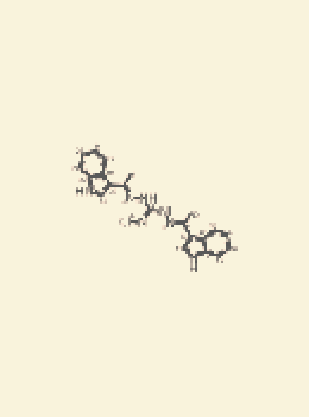 C/C(=N\NC(=NCl)N/N=C(\C)c1c[nH]c2ccccc12)c1c[nH]c2ccccc12